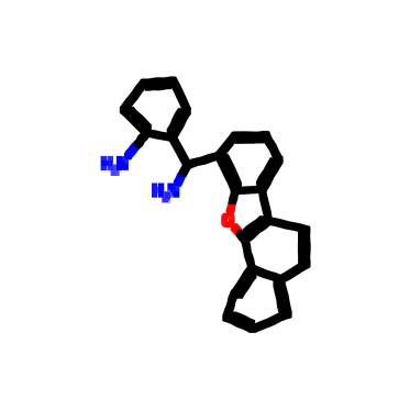 Nc1ccccc1C(N)c1cccc2c1oc1c3ccccc3ccc21